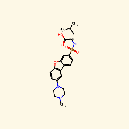 CC(C)C[C@H](NS(=O)(=O)c1ccc2c(c1)oc1ccc(N3CCN(C)CC3)cc12)C(=O)O